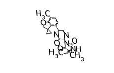 CC[C@@]1(C)NC(=O)N(C2N=CC(c3ccc(C)c4c3C3(CC3)CO4)=NC2=O)C1=O